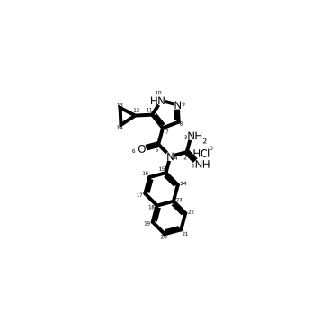 Cl.N=C(N)N(C(=O)c1cn[nH]c1C1CC1)c1ccc2ccccc2c1